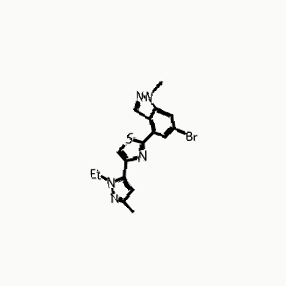 CCn1nc(C)cc1-c1csc(-c2cc(Br)cc3c2cnn3C)n1